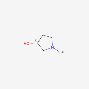 CCCN1CC[C@@H](O)C1